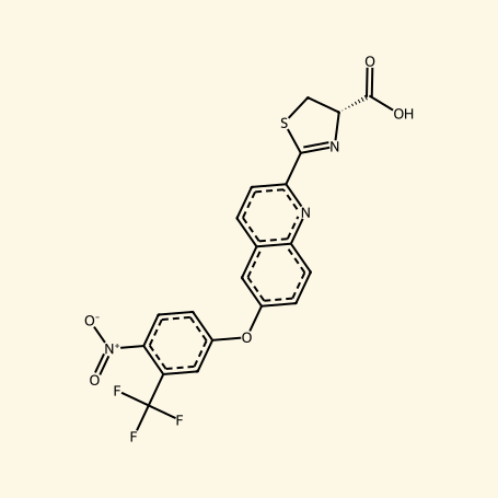 O=C(O)[C@H]1CSC(c2ccc3cc(Oc4ccc([N+](=O)[O-])c(C(F)(F)F)c4)ccc3n2)=N1